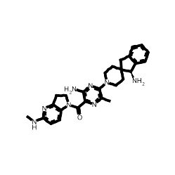 CNc1ccc2c(n1)CCN2C(=O)c1nc(C)c(N2CCC3(CC2)Cc2ccccc2[C@H]3N)nc1N